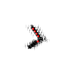 CCCCN(CCCC)CCCC.CCCCN(CCCC)CCCC.OB(O)O.OB(O)O.OB(O)O.OB(O)O.OB(O)O.OB(O)O.OB(O)O.OB(O)O.OB(O)O